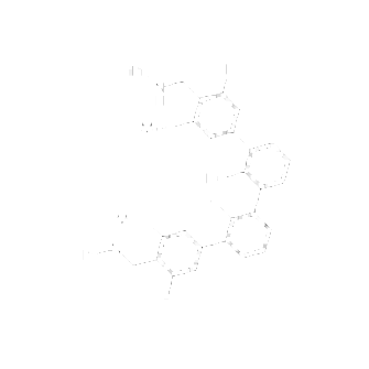 COc1cc(-c2cccc(-c3cccc(-c4cc(F)c(CNC(C)C)c(OC)c4)c3C)c2C)cc(F)c1CNC(C)C